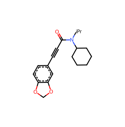 CC(C)N(C(=O)C#Cc1ccc2c(c1)OCO2)C1CCCCC1